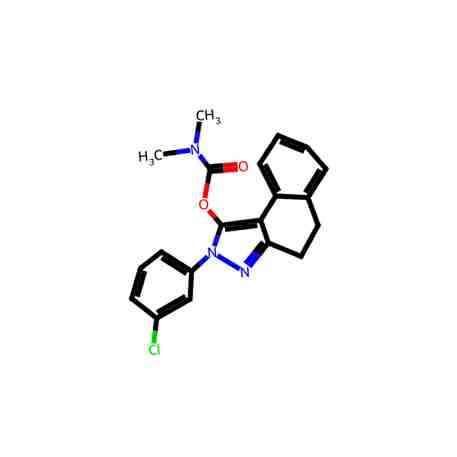 CN(C)C(=O)Oc1c2c(nn1-c1cccc(Cl)c1)CCc1ccccc1-2